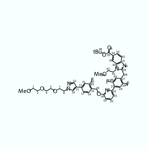 COCCOCCOCCn1cc(-c2ccc(COc3cccc(-c4cc(F)c(Cc5nc6ccc(C(=O)OC(C)(C)C)cc6n5CCOC)cc4F)n3)c(F)c2)cn1